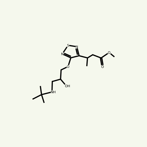 COC(=O)CC(C)c1nsnc1OCC(O)CNC(C)(C)C